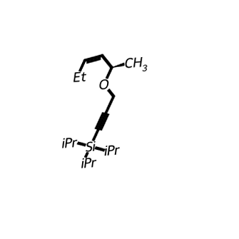 CC/C=C\[C@@H](C)OCC#C[Si](C(C)C)(C(C)C)C(C)C